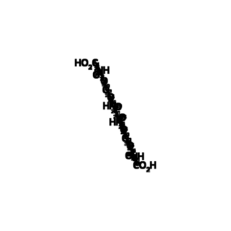 O=C(O)CCNC(=O)CCOCCOCCOCCNC(=O)CCCC(=O)NCCOCCOCCOCCC(=O)NCCC(=O)O